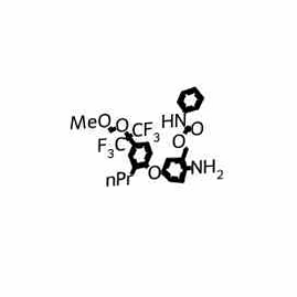 CCCc1cc(C(OCOC)(C(F)(F)F)C(F)(F)F)ccc1Oc1ccc(N)c(COC(=O)Nc2ccccc2)c1